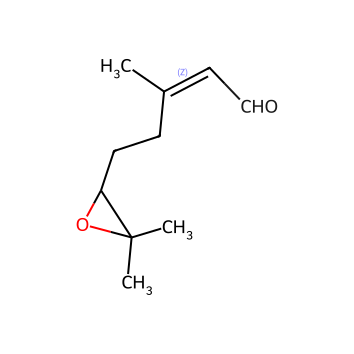 C/C(=C/C=O)CCC1OC1(C)C